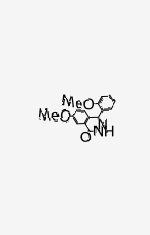 COc1ccc2c(-c3ccccc3OC)n[nH]c(=O)c2c1